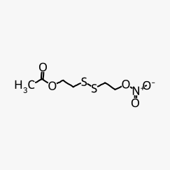 CC(=O)OCCSSCCO[N+](=O)[O-]